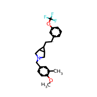 COc1ccc(CN2CC3C(C[CH]c4cccc(OC(F)(F)F)c4)C3C2)cc1C